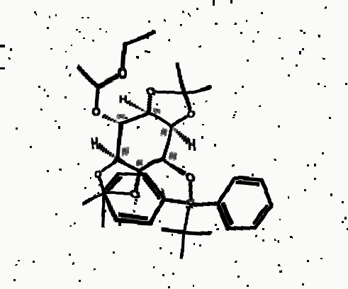 CCOC(C)O[C@@H]1[C@H]2OC(C)(C)O[C@H]2[C@@H](O[Si](c2ccccc2)(c2ccccc2)C(C)(C)C)[C@@H]2OC(C)(C)O[C@@H]12